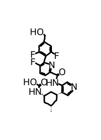 C[C@@H]1C[C@H](NC(=O)O)C[C@H](c2ccncc2NC(=O)c2ccc(F)c(-c3c(F)cc(CO)cc3F)n2)C1